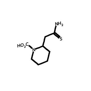 NC(=S)CC1CCCCN1C(=O)O